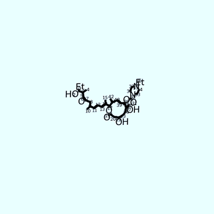 CCC(O)C(C)C1OC1CC(C)/C=C/C=C(\C)C1OC(=O)CC(O)CCC(C)(O)C(OC(=O)N2CCN(CC)CC2)/C=C/C1C